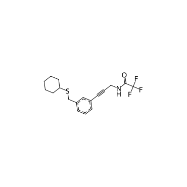 O=C(NCC#Cc1cccc(CSC2CCCCC2)c1)C(F)(F)F